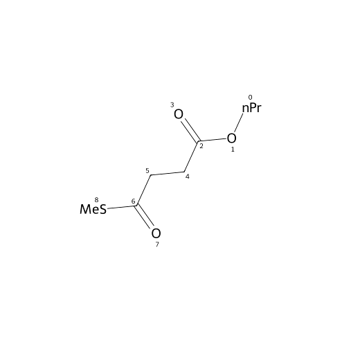 CCCOC(=O)CCC(=O)SC